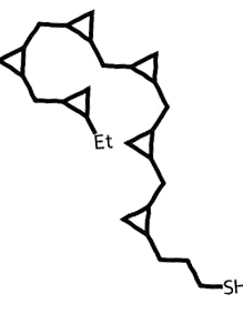 CCC1CC1CC1CC1CC1CC1CC1CC1CC1CC1CC1CC1CCCS